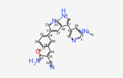 CNc1cncc(-c2c[nH]c3ncc(-c4cccc(C=C(C#N)C(N)=O)c4)cc23)c1